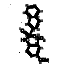 COc1ccc(NS(=O)(=O)c2ccc3ccccc3c2)c([N+](=O)[O-])c1